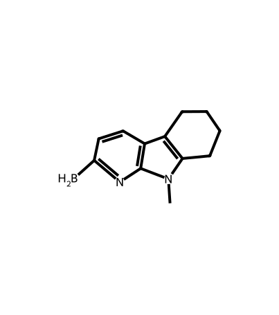 Bc1ccc2c3c(n(C)c2n1)CCCC3